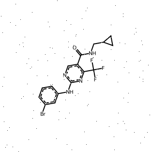 O=C(NCC1CC1)c1cnc(Nc2cccc(Br)c2)nc1C(F)(F)F